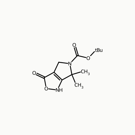 CC(C)(C)OC(=O)N1Cc2c([nH]oc2=O)C1(C)C